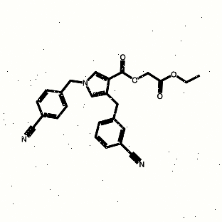 CCOC(=O)COC(=O)c1cn(Cc2ccc(C#N)cc2)cc1Cc1cccc(C#N)c1